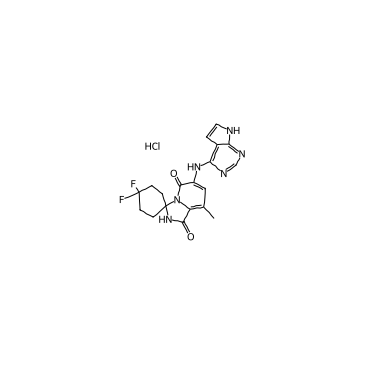 Cc1cc(Nc2ncnc3[nH]ccc23)c(=O)n2c1C(=O)NC21CCC(F)(F)CC1.Cl